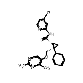 Cc1ncc(OC[C@@]2(C3C=CC=CC3)C[C@H]2C(=O)Nc2cc(Cl)ccn2)c(C)n1